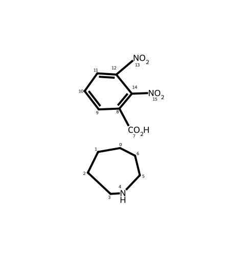 C1CCCNCC1.O=C(O)c1cccc([N+](=O)[O-])c1[N+](=O)[O-]